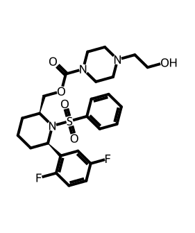 O=C(OC[C@@H]1CCC[C@H](c2cc(F)ccc2F)N1S(=O)(=O)c1ccccc1)N1CCN(CCO)CC1